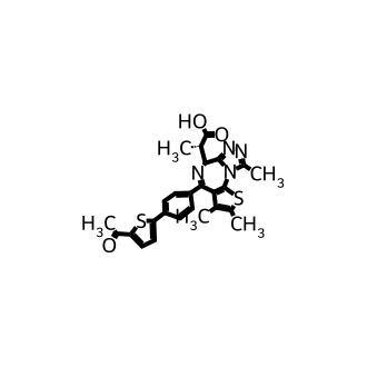 CC(=O)c1ccc(-c2ccc(C3=NC([C@H](C)C(=O)O)c4nnc(C)n4-c4sc(C)c(C)c43)cc2)s1